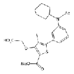 COC(=O)c1sc(-c2cccc(N(C(C)=O)C3CCCCC3)c2)c(C)c1OCC(=O)O